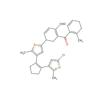 CC1=C(C(=O)C2=C(C=O)C=CC(c3cc(C4=C(c5cc(Cl)sc5C)CCC4)c(C)s3)C2)C=CCC1